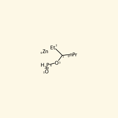 CCCC(CC)O[PH2]=O.[Zn]